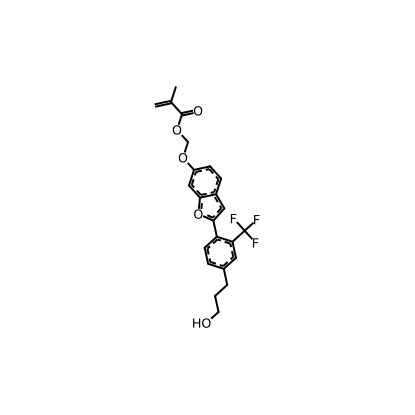 C=C(C)C(=O)OCOc1ccc2cc(-c3ccc(CCCO)cc3C(F)(F)F)oc2c1